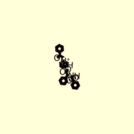 O=C(C[N+]12CCC(CC1)[C@@H](OC(=O)C(NS(=O)(=O)c1ccccc1)c1ccccc1)C2)c1ccccc1